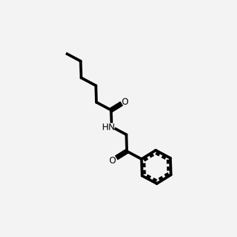 CCCCCC(=O)NCC(=O)c1ccccc1